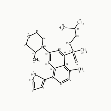 Cc1cnc(-c2ccn[nH]2)c2nc(N3CCOCC3C)cc(P(C)(=O)OCC(C)C)c12